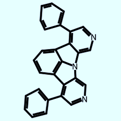 c1ccc(-c2cncc3c2c2cccc4c5c(-c6ccccc6)cncc5n3c24)cc1